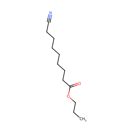 CCCOC(=O)CCCCCCCC#N